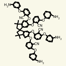 CC1(C)CC2(CC(C)(C)c3cc(Oc4cccc(Oc5cccc(N)c5)c4C#N)c(Oc4cccc(Oc5cccc(N)c5)c4C#N)cc32)c2cc(Oc3cccc(Oc4cccc(N)c4)c3C#N)c(Oc3cccc(Oc4cccc(N)c4)c3C#N)cc21